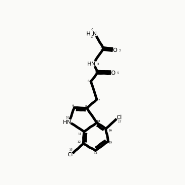 NC(=O)NC(=O)CCc1c[nH]c2c(Cl)ccc(Cl)c12